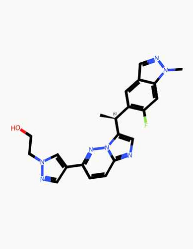 C[C@@H](c1cc2cnn(C)c2cc1F)c1cnc2ccc(-c3cnn(CCO)c3)nn12